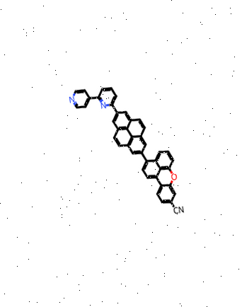 N#Cc1ccc2c(c1)Oc1cccc3c(-c4cc5ccc6cc(-c7cccc(-c8ccncc8)n7)cc7ccc(c4)c5c67)ccc-2c13